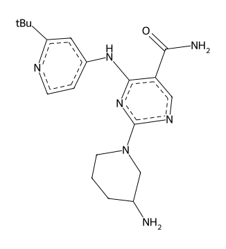 CC(C)(C)c1cc(Nc2nc(N3CCCC(N)C3)ncc2C(N)=O)ccn1